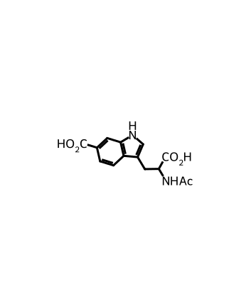 CC(=O)NC(Cc1c[nH]c2cc(C(=O)O)ccc12)C(=O)O